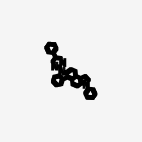 c1ccc(-c2cnc(-n3c4ccccc4c4c5ccc6c(ccn6-c6ccccc6)c5ccc43)nc2)cc1